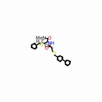 CNC(=O)C(NC(=O)[CH]CSCc1ccc(-c2ccccc2)cc1)C(C)(C)SCc1ccccc1